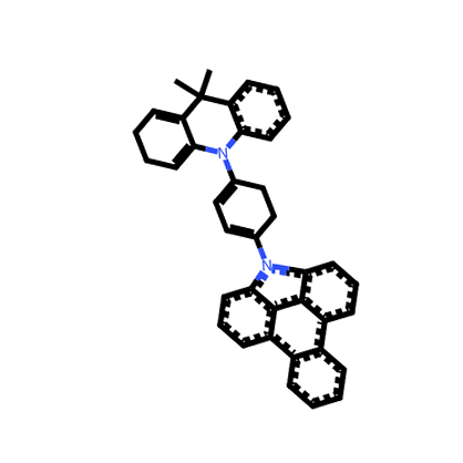 CC1(C)C2=CCCC=C2N(C2=CC=C(n3c4cccc5c6ccccc6c6cccc3c6c54)CC2)c2ccccc21